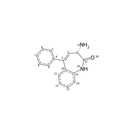 N[C@H]1C=C(c2ccccc2)c2ccccc2NC1=O